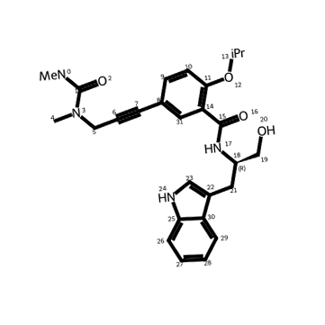 CNC(=O)N(C)CC#Cc1ccc(OC(C)C)c(C(=O)N[C@@H](CO)Cc2c[nH]c3ccccc23)c1